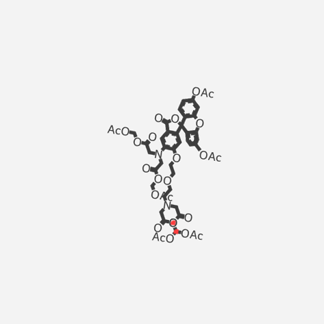 CC(=O)OCOC(=O)CN(CCOCCOc1cc2c(cc1N(CC(=O)OCOC(C)=O)CC(=O)OCOC(C)=O)C(=O)OC21c2ccc(OC(C)=O)cc2Oc2cc(OC(C)=O)ccc21)CC(=O)OCOC(C)=O